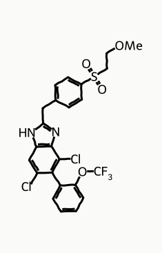 COCCS(=O)(=O)c1ccc(Cc2nc3c(Cl)c(-c4ccccc4OC(F)(F)F)c(Cl)cc3[nH]2)cc1